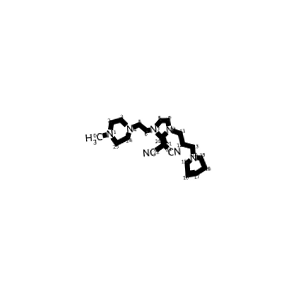 CN1CCN(CCN2CCN(CCCN3CC=CCC3)C2=C(C#N)C#N)CC1